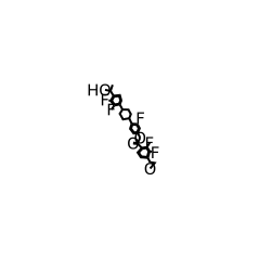 CC(O)c1ccc(C2CCC(c3ccc(OC(=O)c4ccc(C5CO5)c(F)c4F)cc3F)CC2)c(F)c1F